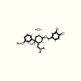 COc1cccc(C2(O)CCC(OCc3ccc(Cl)c(Cl)c3)CC2CN(C)C)c1.Cl